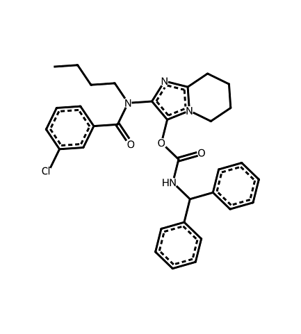 CCCCN(C(=O)c1cccc(Cl)c1)c1nc2n(c1OC(=O)NC(c1ccccc1)c1ccccc1)CCCC2